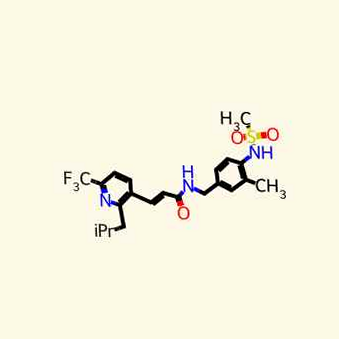 Cc1cc(CNC(=O)C=Cc2ccc(C(F)(F)F)nc2CC(C)C)ccc1NS(C)(=O)=O